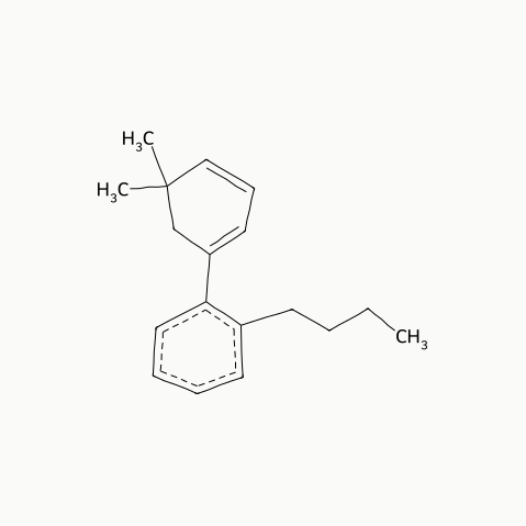 CCCCc1ccccc1C1=CC=CC(C)(C)C1